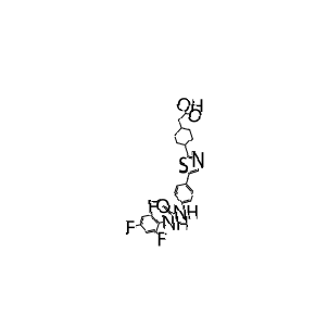 O=C(O)CC1CCC(c2ncc(-c3ccc(NC(=O)Nc4c(F)cc(F)cc4F)cc3)s2)CC1